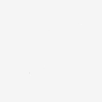 Cn1ccc2ccc(C(CC=O)c3ccccc3)cc21